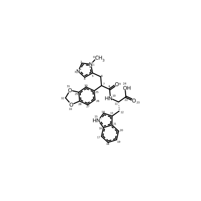 Cn1cncc1CC(C(=O)N[C@@H](Cc1c[nH]c2ccccc12)C(=O)O)c1ccc2c(c1)OCO2